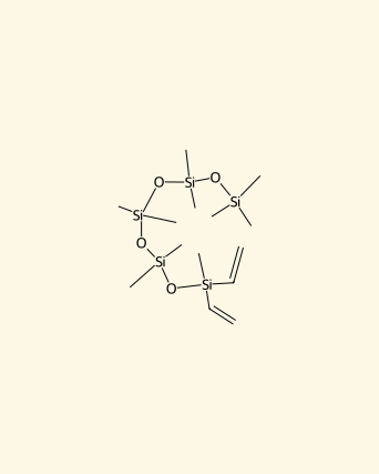 C=C[Si](C)(C=C)O[Si](C)(C)O[Si](C)(C)O[Si](C)(C)O[Si](C)(C)C